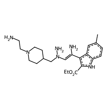 CCOC(=O)c1[nH]c2ccc(C)cc2c1/C(N)=C/N(N)CC1CCN(CCN)CC1